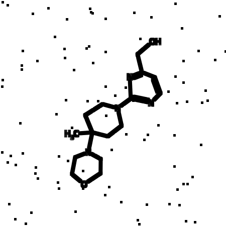 CC1(N2CCOCC2)CCN(c2nccc(CO)n2)CC1